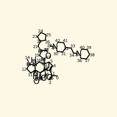 CC(C)C1=CC2CC3(C=O)[C@@H]4CC[C@@H](C)[C@H]4CC2([C@H]2C[C@@H](CC4CCCC4)[C@H](CN4CCC(CCN5CCCCC5)CC4)O2)[C@]13C(=O)O